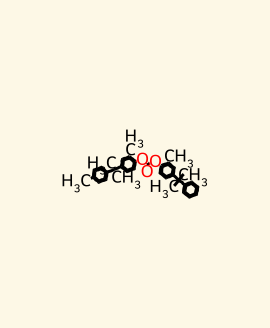 Cc1ccc(C(C)(C)c2ccc(OC(=O)Oc3ccc(C(C)(C)c4ccccc4)cc3C)c(C)c2)cc1